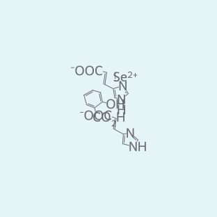 O=C(O)c1ccccc1O.O=C([O-])C=Cc1c[nH]cn1.O=C([O-])C=Cc1c[nH]cn1.[Se+2]